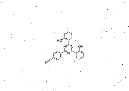 Cc1ccc(-c2nc(-c3ccc(C#N)cc3)nc(-c3ccccc3O)n2)c(O)c1